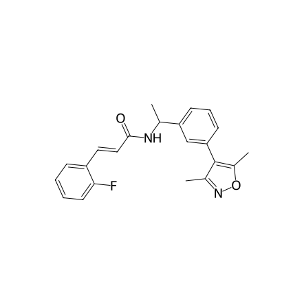 Cc1noc(C)c1-c1cccc(C(C)NC(=O)C=Cc2ccccc2F)c1